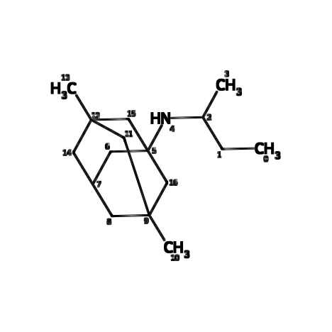 CCC(C)NC12CC3CC(C)(CC(C)(C3)C1)C2